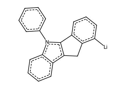 [Li][c]1cccc2c1Cc1c-2n(-c2ccccc2)c2ccccc12